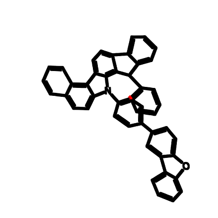 c1ccc(C2c3ccccc3-c3ccc4c5c6ccccc6ccc5n(-c5ccc(-c6ccc7oc8ccccc8c7c6)cc5)c4c32)cc1